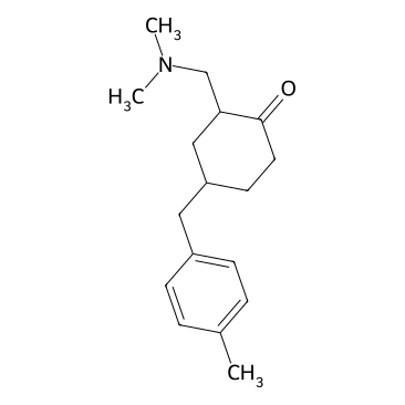 Cc1ccc(CC2CCC(=O)C(CN(C)C)C2)cc1